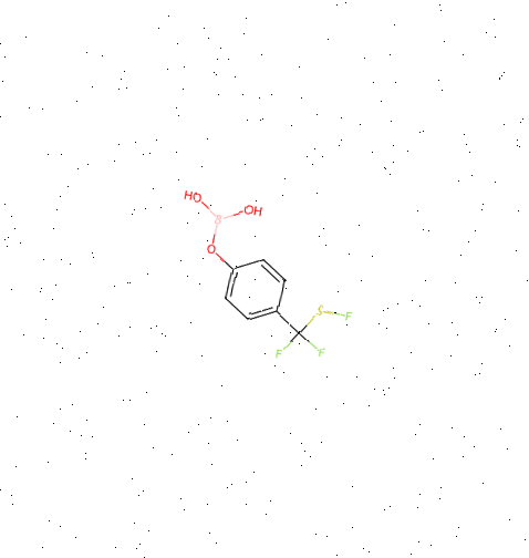 OB(O)Oc1ccc(C(F)(F)SF)cc1